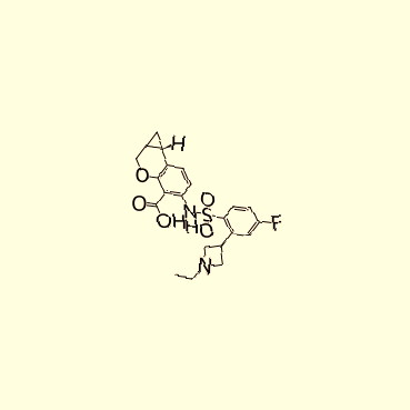 CCN1CC(c2cc(F)ccc2S(=O)(=O)Nc2ccc3c(c2C(=O)O)OCC2C[C@H]32)C1